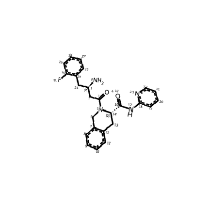 N[C@@H](CC(=O)N1Cc2ccccc2C[C@H]1C(=O)Nc1ccccn1)Cc1ccccc1F